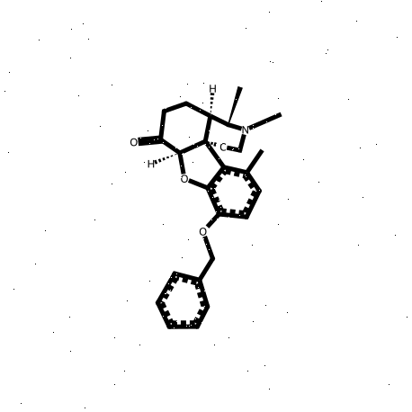 Cc1ccc(OCc2ccccc2)c2c1[C@]13CCN(C)[C@H](C)[C@@H]1CCC(=O)[C@@H]3O2